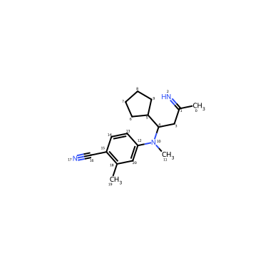 CC(=N)CC(C1CCCC1)N(C)c1ccc(C#N)c(C)c1